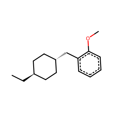 CC[C@H]1CC[C@H](Cc2ccccc2OC)CC1